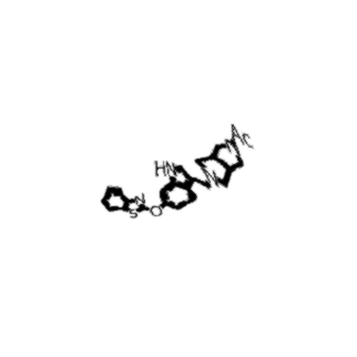 CC(=O)N1CC2CN(Cc3c[nH]c4cc(Oc5nc6ccccc6s5)ccc34)CC2C1